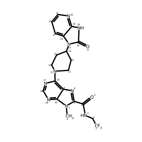 Cn1c(C(=O)NCC(F)(F)F)nc2c(N3CCC(n4c(=O)[nH]c5ncccc54)CC3)ncnc21